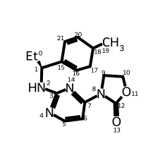 CC[C@H](Nc1nccc(N2CCOC2=O)n1)C1=CCC(C)C=C1